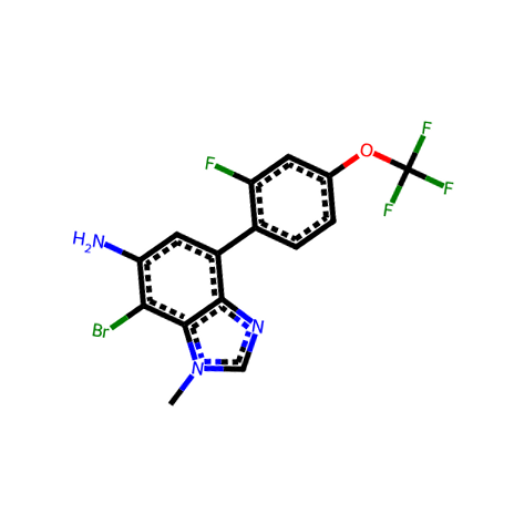 Cn1cnc2c(-c3ccc(OC(F)(F)F)cc3F)cc(N)c(Br)c21